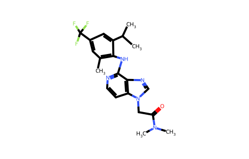 Cc1cc(C(F)(F)F)cc(C(C)C)c1Nc1nccc2c1ncn2CC(=O)N(C)C